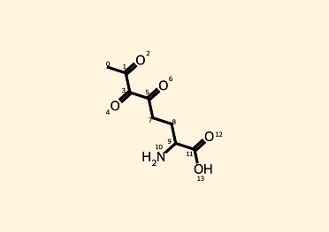 CC(=O)C(=O)C(=O)CCC(N)C(=O)O